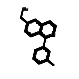 Cc1cccc(-c2nccc3cc(CC(C)(C)C)ccc23)c1